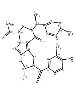 CNC(=O)[C@@H]1CN([C@@H](C)c2cnc(C(F)(F)F)nc2)C(=O)c2c3c(nn21)C[C@@H](C)N(C(=O)c1ccc(Cl)c(C(F)(F)F)c1)C3